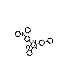 c1ccc(-c2ccc(-c3nc(-c4ccc5c(c4)c4ccccc4n5-c4ccccc4)c4oc5ccccc5c4n3)cc2)cc1